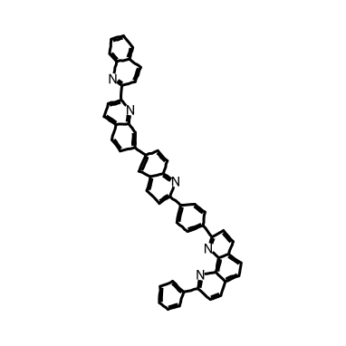 c1ccc(-c2ccc3ccc4ccc(-c5ccc(-c6ccc7cc(-c8ccc9ccc(-c%10ccc%11ccccc%11n%10)nc9c8)ccc7n6)cc5)nc4c3n2)cc1